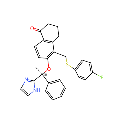 C[C@](Oc1ccc2c(c1CSc1ccc(F)cc1)CCCC2=O)(c1ccccc1)c1ncc[nH]1